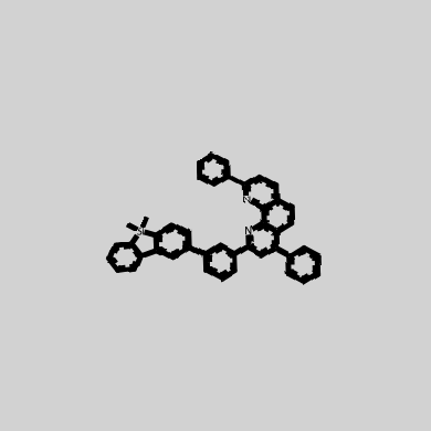 C[Si]1(C)c2ccccc2-c2cc(-c3cccc(-c4cc(-c5ccccc5)c5ccc6ccc(-c7ccccc7)nc6c5n4)c3)ccc21